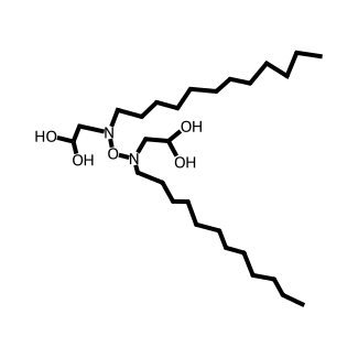 CCCCCCCCCCCCN(CC(O)O)ON(CCCCCCCCCCCC)CC(O)O